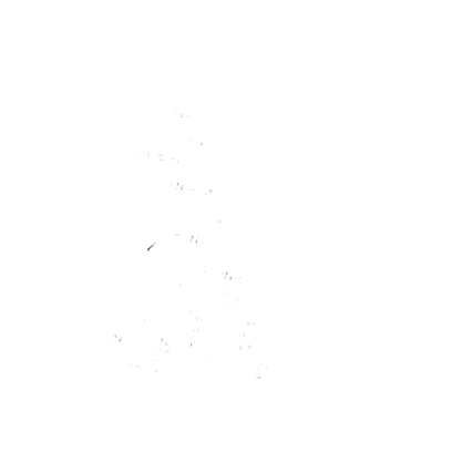 C[C@H]1CN(C(=O)OC(C)(C)C)CCN1c1nc2cc(Cl)cc(-n3ccnc3)c2o1